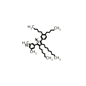 CCCCCCCCC1=C(c2ccc(CCCCC)c(CCCCC)c2)[N+](=[N-])C(c2cc(C)cc(C)c2)=C1CCCCCC.[Ni]